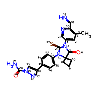 Cc1cc(N2C(=O)C3(CCC3)N(c3ccc(-c4cnn(C(N)=O)c4)cc3)C2=S)cnc1C=N